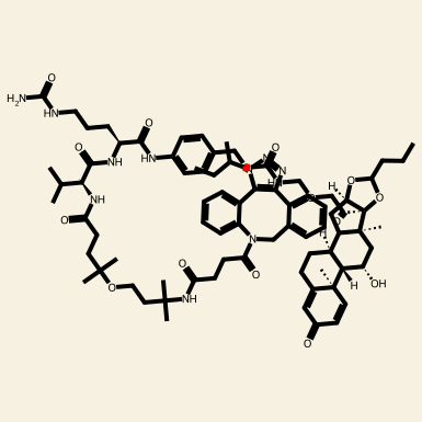 CCCC1O[C@@H]2CC3[C@@H]4CCC5=CC(=O)C=C[C@]5(C)[C@H]4[C@@H](O)C[C@]3(C)[C@]2(C(=O)COCNC(=O)OCc2ccc(NC(=O)[C@H](CCCNC(N)=O)NC(=O)[C@@H](NC(=O)CCC(C)(C)OCCC(C)(C)NC(=O)CCC(=O)N3Cc4ccccc4-c4nnn(C(C)CC)c4-c4ccccc43)C(C)C)cc2)O1